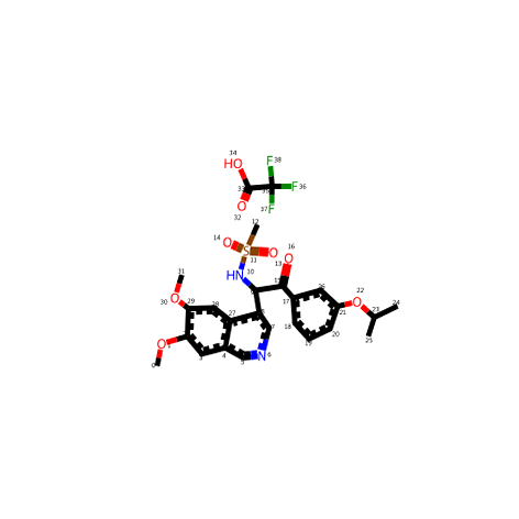 COc1cc2cncc(C(NS(C)(=O)=O)C(=O)c3cccc(OC(C)C)c3)c2cc1OC.O=C(O)C(F)(F)F